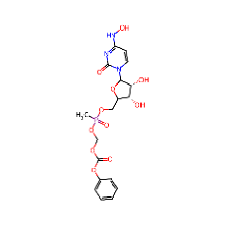 CP(=O)(OCOC(=O)Oc1ccccc1)OCC1OC(n2ccc(NO)nc2=O)[C@H](O)[C@@H]1O